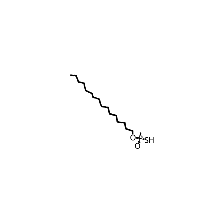 CCCCCCCCCCCCCCCCOP(C)(=O)S